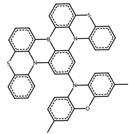 Cc1ccc2c(c1)Oc1cc(C)ccc1N2c1cc2c3c(c1)N1c4ccccc4Sc4cccc(c41)B3c1cccc3c1N2c1ccccc1S3